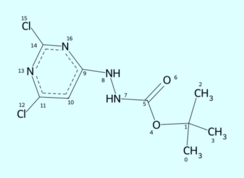 CC(C)(C)OC(=O)NNc1cc(Cl)nc(Cl)n1